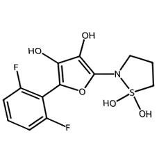 Oc1c(-c2c(F)cccc2F)oc(N2CCCS2(O)O)c1O